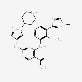 COc1c(Nc2nc(Nc3cnn(C4CCNCC4)c3)ncc2C(N)=O)cccc1-c1ncn(C)n1